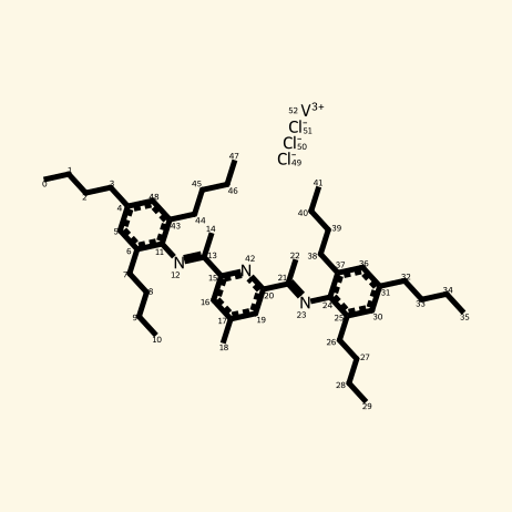 CCCCc1cc(CCCC)c(N=C(C)c2cc(C)cc(C(C)=Nc3c(CCCC)cc(CCCC)cc3CCCC)n2)c(CCCC)c1.[Cl-].[Cl-].[Cl-].[V+3]